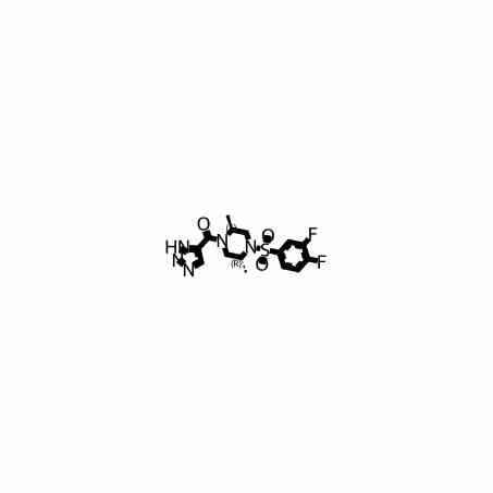 C[C@@H]1CN(C(=O)c2cnn[nH]2)[C@@H](C)CN1S(=O)(=O)c1ccc(F)c(F)c1